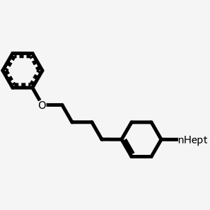 CCCCCCCC1CC=C(CCCCOc2ccccc2)CC1